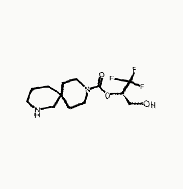 O=C(O[C@H](CO)C(F)(F)F)N1CCC2(CCCNC2)CC1